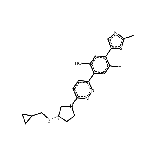 Cc1ncc(-c2cc(O)c(-c3ccc(N4CC[C@H](NCC5CC5)C4)nn3)cc2F)s1